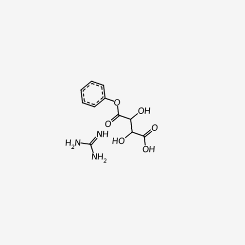 N=C(N)N.O=C(O)C(O)C(O)C(=O)Oc1ccccc1